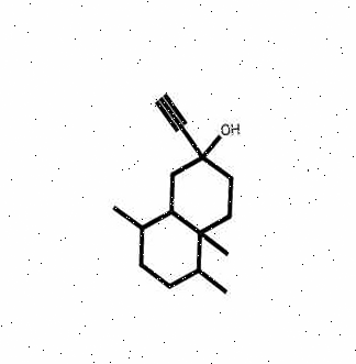 C#CC1(O)CCC2(C)C(C)CCC(C)C2C1